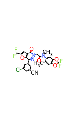 Cc1cc2c(cc1N(C)C(=O)Cn1nc(-c3cc(Cl)cc(C#N)c3)c3oc(C(F)F)cc3c1=O)OC(F)(F)O2